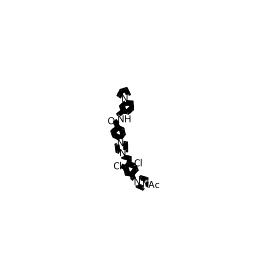 CC(=O)N1CCN(Cc2cc(Cl)c(CCN3CCN(c4ccc(C(=O)NCc5cccc(N6CCCC6)c5)cc4)CC3)c(Cl)c2)CC1